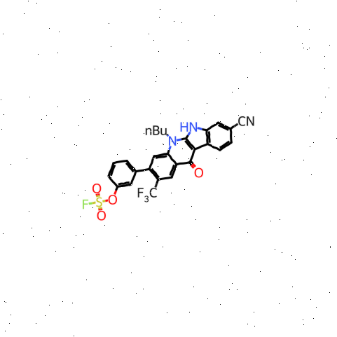 CCCCn1c2cc(-c3cccc(OS(=O)(=O)F)c3)c(C(F)(F)F)cc2c(=O)c2c3ccc(C#N)cc3[nH]c21